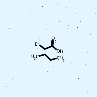 CCCC.O=C(O)CBr